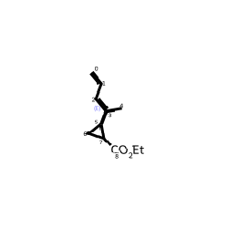 C=C/C=C(\C)C1CC1C(=O)OCC